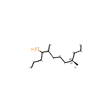 CCCC(P)C(C)CCC[C@H](C)CCC